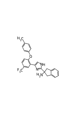 Cc1ccc(Oc2ccc(C(F)(F)F)cc2-c2c[nH]c(C3(N)Cc4ccccc4C3)n2)cc1